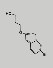 OCCCOc1ccc2cc(Br)ccc2c1